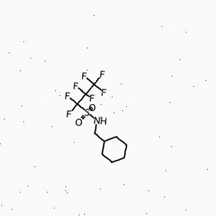 O=S(=O)(NCC1CCCCC1)C(F)(F)C(F)(F)C(F)(F)F